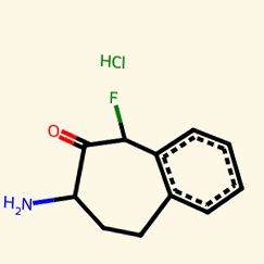 Cl.NC1CCc2ccccc2C(F)C1=O